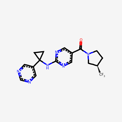 O=C(c1cnc(NC2(c3cncnc3)CC2)nc1)N1CC[C@@H](C(F)(F)F)C1